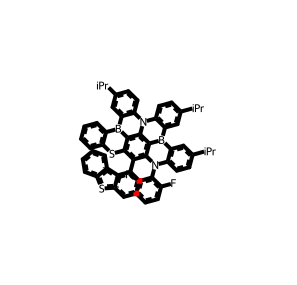 CC(C)c1ccc2c(c1)B1c3ccccc3Sc3c1c1c4c(c3-c3cccc5sc6ccccc6c35)N(c3c(F)cccc3F)c3ccc(C(C)C)cc3B4c3cc(C(C)C)ccc3N21